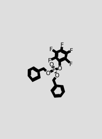 O=P(OCc1ccccc1)(OCc1ccccc1)Oc1c(F)c(F)c(F)c(F)c1F